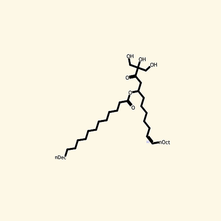 CCCCCCCC/C=C\CCCCCC(CC(=O)C(O)(CO)CO)OC(=O)CCCCCCCCCCCCCCCCCCCCC